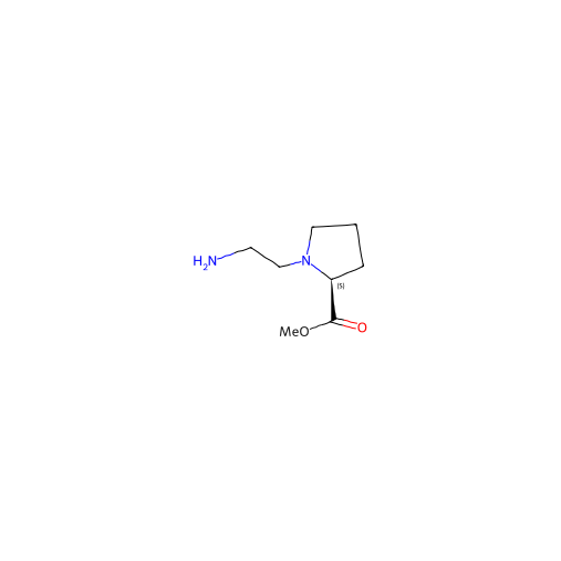 COC(=O)[C@@H]1CCCN1CCN